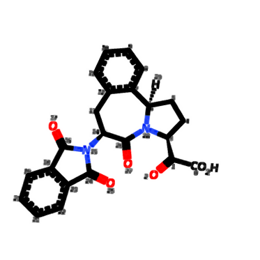 O=C(O)C(=O)[C@@H]1CC[C@@H]2c3ccccc3C[C@H](N3C(=O)c4ccccc4C3=O)C(=O)N21